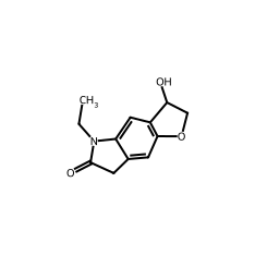 CCN1C(=O)Cc2cc3c(cc21)C(O)CO3